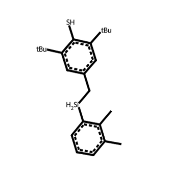 Cc1cccc([SiH2]Cc2cc(C(C)(C)C)c(S)c(C(C)(C)C)c2)c1C